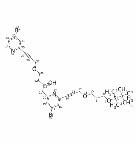 CC(C)(C)[Si](C)(C)OCCCOCC#Cc1cc(Br)cc(CC(O)CCOCC#Cc2cc(Br)ccn2)n1